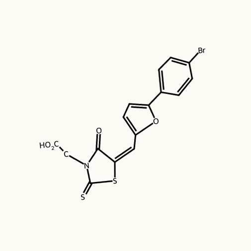 O=C(O)CN1C(=O)/C(=C\c2ccc(-c3ccc(Br)cc3)o2)SC1=S